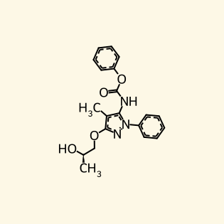 Cc1c(OC[C@@H](C)O)nn(-c2ccccc2)c1NC(=O)Oc1ccccc1